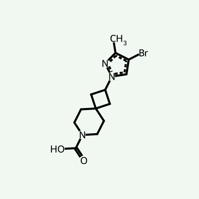 Cc1nn(C2CC3(CCN(C(=O)O)CC3)C2)cc1Br